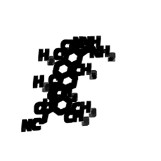 CC1(C)CC2C3=CCC4[C@@]5(C)Cc6c(n[nH]c6N)C(C)(C)C5CC[C@@]4(C)[C@]3(C)CC[C@@H]2[C@H](C(=O)CC#N)C1